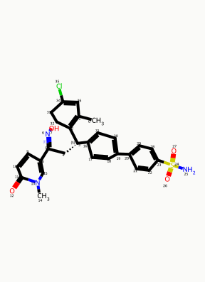 CC1=C([C@@H](C/C(=N\O)c2ccc(=O)n(C)c2)c2ccc(-c3ccc(S(N)(=O)=O)cc3)cc2)CCC(Cl)=C1